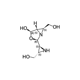 OC[C@@H]1[C@H]2[C@H](O)O[C@H]([C@H]3N[C@@H]3CO)N21